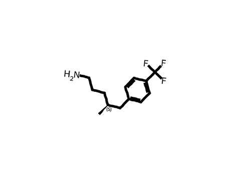 C[C@@H](CCCN)Cc1ccc(C(F)(F)F)cc1